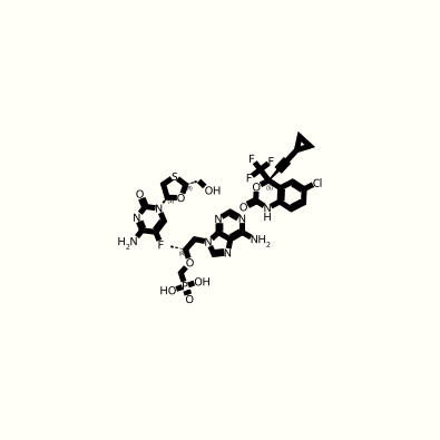 C[C@H](Cn1cnc2c(N)ncnc21)OCP(=O)(O)O.Nc1nc(=O)n([C@@H]2CS[C@H](CO)O2)cc1F.O=C1Nc2ccc(Cl)cc2[C@@](C#CC2CC2)(C(F)(F)F)O1